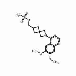 COc1cc2ncnc(N3CC4(CC(COS(C)(=O)=O)C4)C3)c2cc1OC